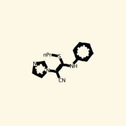 CCCS/C(Nc1ccccc1)=C(/C#N)n1ccnc1